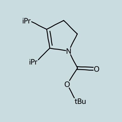 CC(C)C1=C(C(C)C)N(C(=O)OC(C)(C)C)CC1